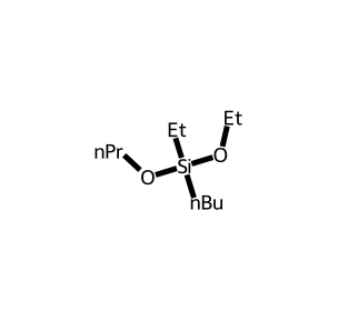 CCCC[Si](CC)(OCC)OCCC